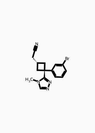 Cn1cnnc1[C@]1(c2cccc(Br)c2)C[C@@H](CC#N)C1